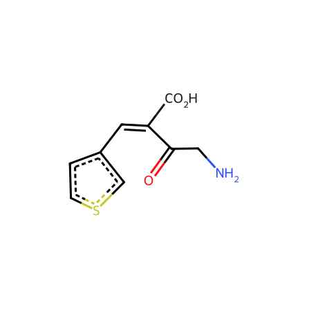 NCC(=O)C(=Cc1ccsc1)C(=O)O